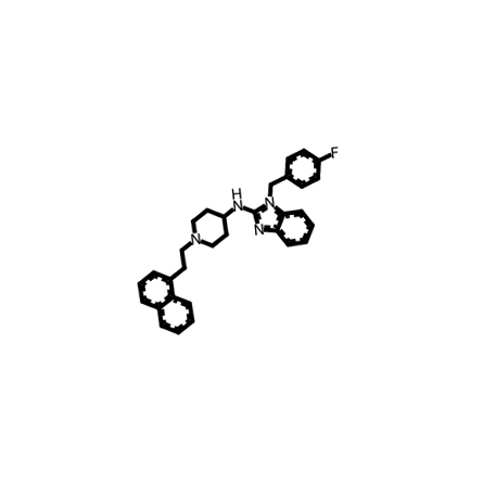 Fc1ccc(Cn2c(NC3CCN(CCc4cccc5ccccc45)CC3)nc3ccccc32)cc1